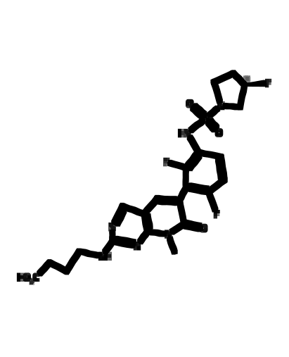 Cn1c(=O)c(-c2c(F)ccc(NS(=O)(=O)N3CC[C@@H](F)C3)c2F)cc2cnc(NCCCC(=O)O)nc21